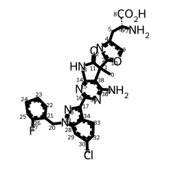 CC1(c2nc(C[C@@H](N)C(=O)O)co2)C(=O)Nc2nc(-c3nn(Cc4ccccc4F)c4cc(Cl)ccc34)nc(N)c21